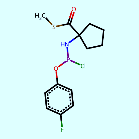 CSC(=O)C1(NP(Cl)Oc2ccc(F)cc2)CCCC1